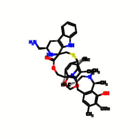 COc1c(C)cc2c(c1O)[C@H](C)N(C)C[C@](C)(N1C[C@@H]3SC[C@]4(N[C@@H](CN)Cc5c4[nH]c4ccccc54)C(=O)OC[C@H]1c1c4c(c(C)c(OC(C)=O)c13)OCO4)C2